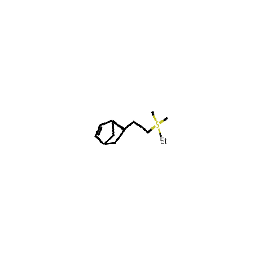 CCS(C)(C)CCC1CC2C=CC1C2